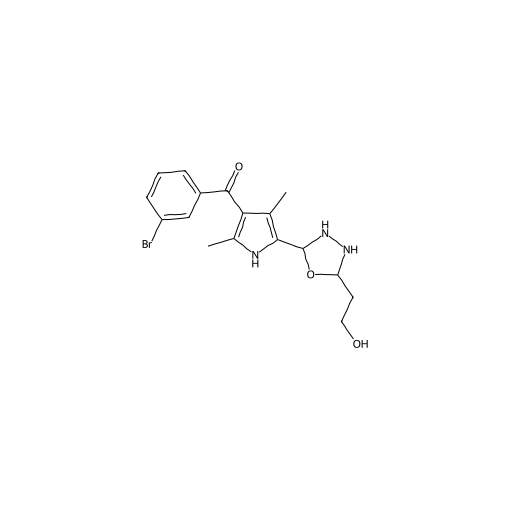 Cc1[nH]c(C2NNC(CCO)O2)c(C)c1C(=O)c1cccc(Br)c1